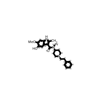 COc1cc2[nH]c(C)c(C(=O)N(C(C)C)C3CCN(CCc4ccccc4)CC3)c2cc1O